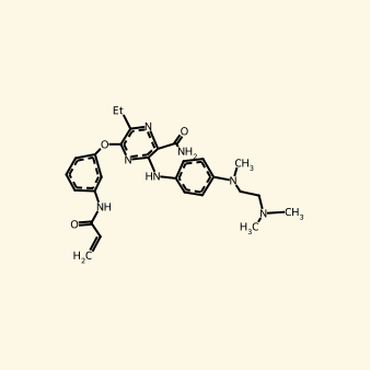 C=CC(=O)Nc1cccc(Oc2nc(Nc3ccc(N(C)CCN(C)C)cc3)c(C(N)=O)nc2CC)c1